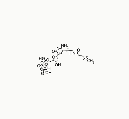 CSSCCC(=O)NCC#Cc1cn([C@H]2C[C@@H](O)[C@@H](COP(=O)(O)OP(=O)(O)OP(=O)(O)O)O2)c(=O)nc1N